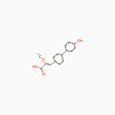 CCOC(=Cc1ccc(-c2ccc(O)cc2)cc1)C(=O)O